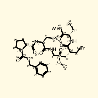 CCOP(=O)(CNC(=O)[C@H](CC(C)C)NC(=O)[C@H]1CCCN1C(=O)OCc1ccccc1)C[C@@H](CC(C)C)C(=O)N[C@@H](CC(C)C)C(=O)NC